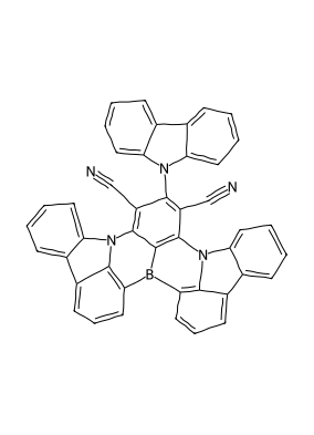 N#Cc1c(-n2c3ccccc3c3ccccc32)c(C#N)c2c3c1-n1c4ccccc4c4cccc(c41)B3c1cccc3c4ccccc4n-2c13